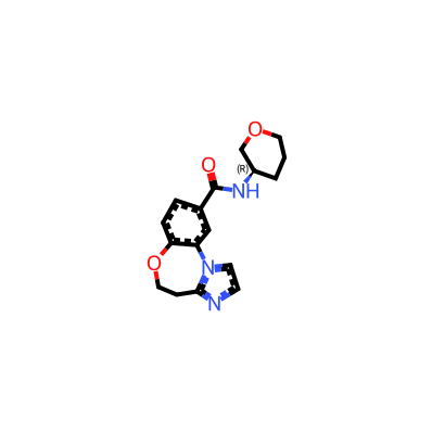 O=C(N[C@@H]1CCCOC1)c1ccc2c(c1)-n1ccnc1CCO2